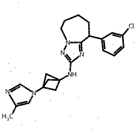 Cc1cn(C23CC(Nc4nc5n(n4)CCCCC5c4cccc(Cl)c4)(C2)C3)cn1